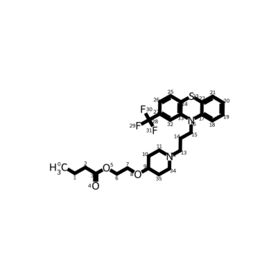 CCCC(=O)OCCOC1CCN(CCCN2c3ccccc3Sc3ccc(C(F)(F)F)cc32)CC1